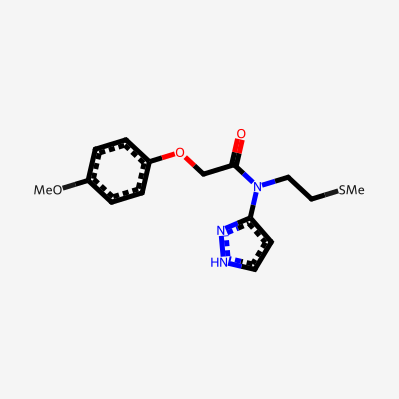 COc1ccc(OCC(=O)N(CCSC)c2cc[nH]n2)cc1